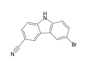 N#Cc1ccc2[nH]c3ccc(Br)cc3c2c1